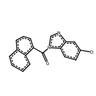 O=C(c1cccc2ccccc12)n1cnc2cc(Cl)ccc21